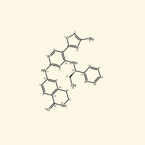 CC(C)(C)c1noc(-c2cnc(Nc3ccc4c(c3)CCNC4=O)nc2N[C@H](CO)c2ccccc2)n1